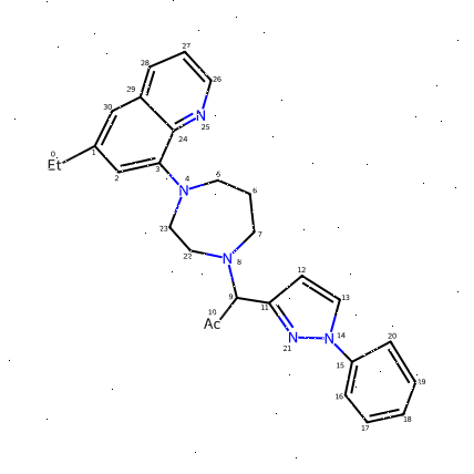 CCc1cc(N2CCCN(C(C(C)=O)c3ccn(-c4ccccc4)n3)CC2)c2ncccc2c1